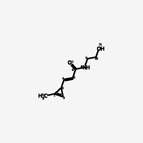 CC1=CC1/C=C/C(=O)NCCO